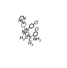 CC(c1cc(Cl)ccc1N)N(C)Cc1nnc(C2CCN(c3ncccn3)CC2)n1-c1ccc(Cl)cc1